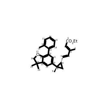 CCOC(=O)C=C(C)C=C[C@@H]1C[C@]1(C)c1cc(-c2ccccc2C)c2c(c1)C(C)(C)CO2